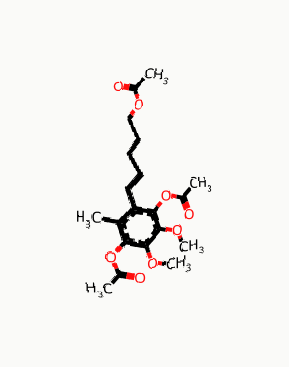 COc1c(OC(C)=O)c(C)c(CCCCCOC(C)=O)c(OC(C)=O)c1OC